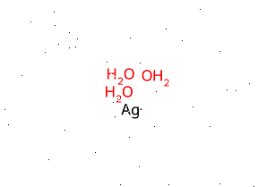 O.O.O.[Ag]